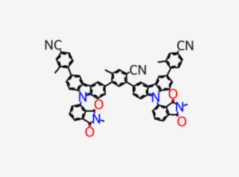 Cc1cc(C#N)ccc1-c1ccc2c(c1)c1cc(-c3cc(-c4ccc5c(c4)c4cc(-c6ccc(C#N)cc6C)ccc4n5-c4cccc5c4C(=O)N(C)C5=O)c(C#N)cc3C)ccc1n2-c1cccc2c1C(=O)N(C)C2=O